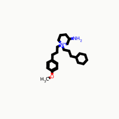 COc1ccc(CCC[N+]2(CCCC3CCCCC3)CCCC(N)C2)cc1